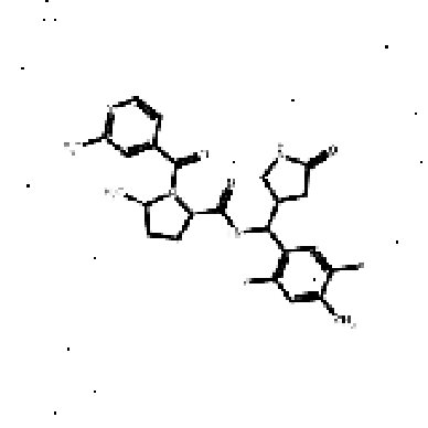 Cc1cc(F)c(C(NC(=O)[C@H]2CC[C@@H](C)N2C(=O)c2ccnc(C(F)(F)F)c2)C2CNC(=O)C2)cc1F